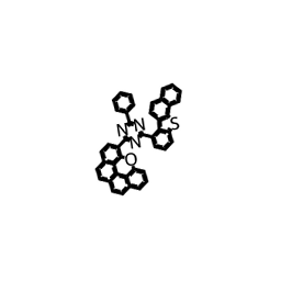 c1ccc(-c2nc(-c3ccc4ccc5ccc6cccc7c6c5c4c3O7)nc(-c3cccc4sc5c6ccccc6ccc5c34)n2)cc1